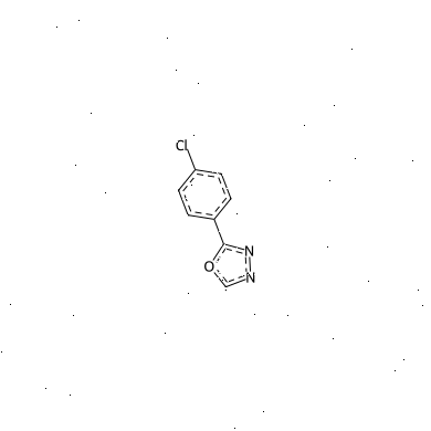 Clc1ccc(-c2nn[c]o2)cc1